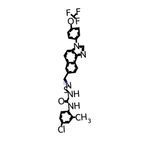 Cc1cc(Cl)ccc1NC(=O)NS/N=C/c1ccc2c(ccc3c2ncn3-c2ccc(OC(F)(F)F)cc2)c1